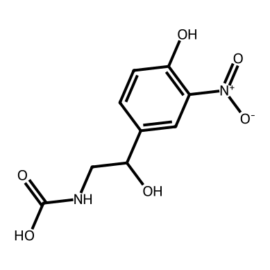 O=C(O)NCC(O)c1ccc(O)c([N+](=O)[O-])c1